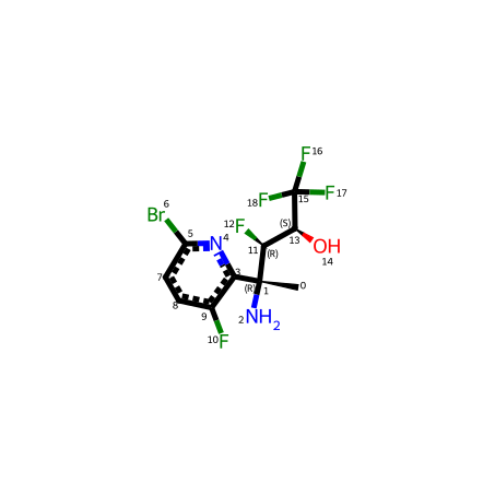 C[C@@](N)(c1nc(Br)ccc1F)[C@@H](F)[C@H](O)C(F)(F)F